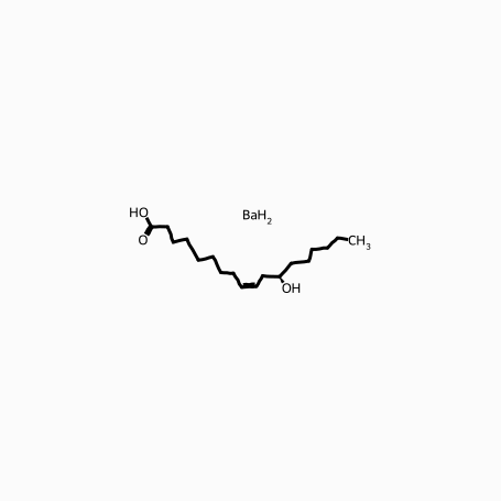 CCCCCC[C@@H](O)C/C=C\CCCCCCCC(=O)O.[BaH2]